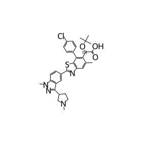 Cc1cc2nc(-c3ccc4c(c3)c(C3CCN(C)C3)nn4C)sc2c(-c2ccc(Cl)cc2)c1[C@H](OC(C)(C)C)C(=O)O